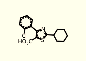 O=C(O)c1sc(C2CCCCC2)nc1-c1ccccc1Cl